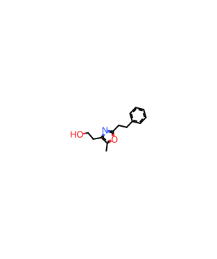 Cc1oc(CCc2ccccc2)nc1CCO